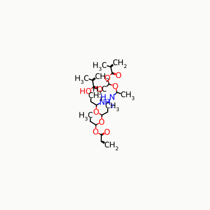 C=C(C)C(=O)O.C=C(C)C(=O)OC(C)OC(C)N.C=CC(=O)OC(CC)OC(CC)OC(N)CC